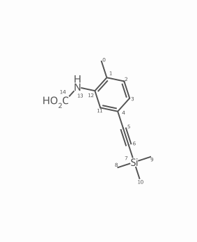 Cc1ccc(C#C[Si](C)(C)C)cc1NC(=O)O